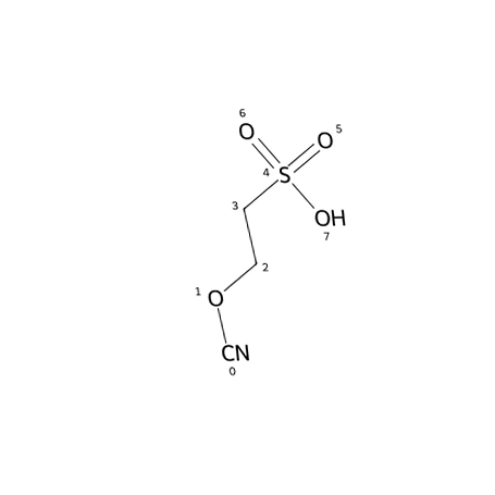 N#COCCS(=O)(=O)O